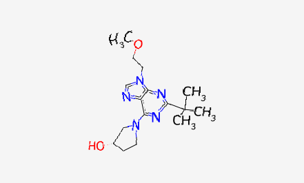 COCCn1cnc2c(N3CC[C@H](O)C3)nc(C(C)(C)C)nc21